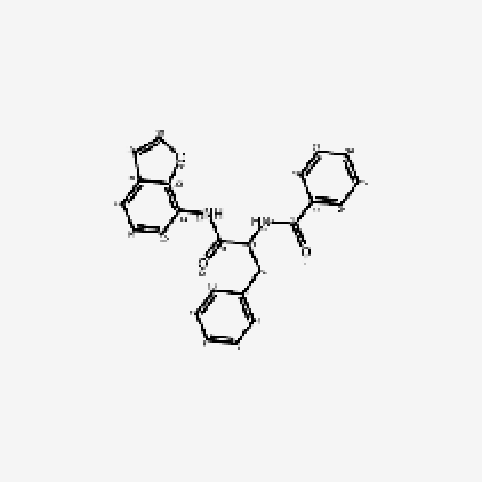 O=C(NC(Cc1ccccc1)C(=O)Nc1cccc2ccoc12)c1ccccc1